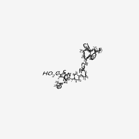 O=C(O)c1cc2c(nc(CC3CCC(c4cccc(OCc5ccc(Cl)c6cc(F)oc56)n4)CC3)n2C[C@@H]2CCO2)s1